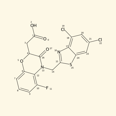 O=C(O)CC1Oc2cccc(F)c2N(Cc2nc3c(Cl)cc(Cl)cc3s2)C1=O